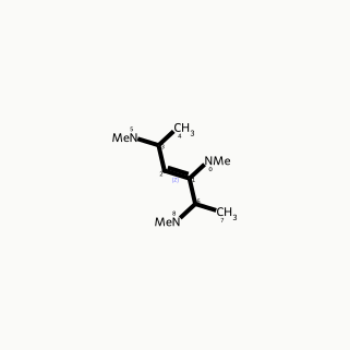 CN/C(=C\C(C)NC)C(C)NC